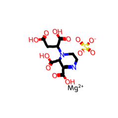 O=C(O)CC(C(=O)O)N1CCN=C(C(=O)O)C1C(=O)O.O=S(=O)([O-])[O-].[Mg+2]